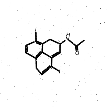 CC(=O)NC1C=C2C(I)=CCc3ccc(I)c(c32)C1